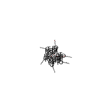 CCCCCCCCOc1c(F)c(F)c(C(=O)Oc2cc3c4cc(OC(=O)c5c(F)c(F)c(OCCCCCCCC)c(F)c5F)c(OC(=O)c5c(F)c(F)c(OCCCCCCCC)c(F)c5F)cc4c4cc(OC(=O)c5c(F)c(F)c(OCCCCCCCC)c(F)c5F)c(OC(=O)c5c(F)c(F)c(OCCCCCCCC)c(F)c5F)cc4c3cc2OC(=O)c2c(F)c(F)c(OCCCCCCCC)c(F)c2F)c(F)c1F